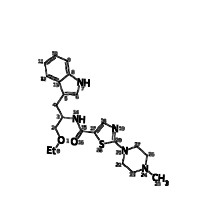 CCOCC(Cc1c[nH]c2ccccc12)NC(=O)c1cnc(N2CCN(C)CC2)s1